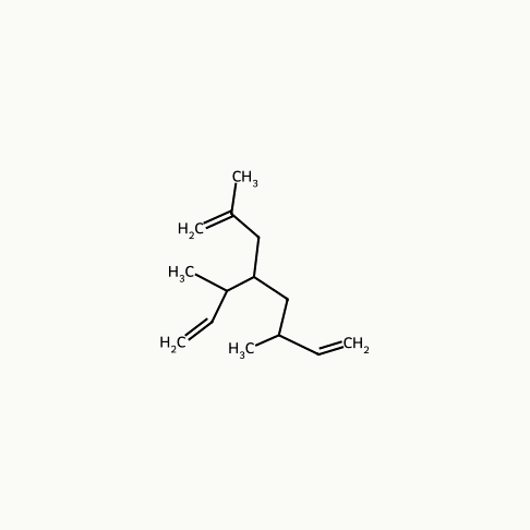 C=CC(C)CC(CC(=C)C)C(C)C=C